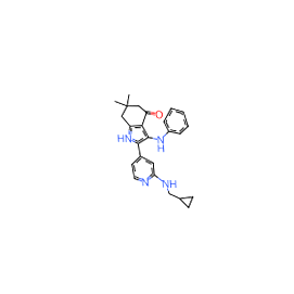 CC1(C)CC(=O)c2c([nH]c(-c3ccnc(NCC4CC4)c3)c2Nc2ccccc2)C1